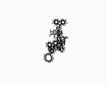 CC[C@H](C)[C@H](NC(=O)OCC1c2ccccc2-c2ccccc21)C(=O)N(C)[C@@H](CC(C)C)C(=O)N(C)[C@@H](CC(=O)OC(c1ccccc1)(c1ccc(C2CCCCCCCCC2)cc1)c1ccccc1Cl)C(=O)N1CCCCC1